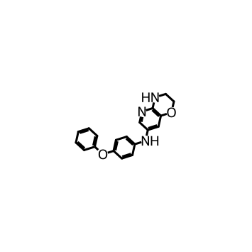 c1ccc(Oc2ccc(Nc3cnc4c(c3)OCCN4)cc2)cc1